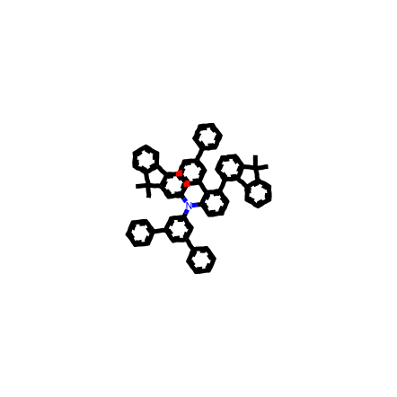 CC1(C)c2ccccc2-c2ccc(N(c3cc(-c4ccccc4)cc(-c4ccccc4)c3)c3cccc(-c4cccc5c4-c4ccccc4C5(C)C)c3-c3cccc(-c4ccccc4)c3)cc21